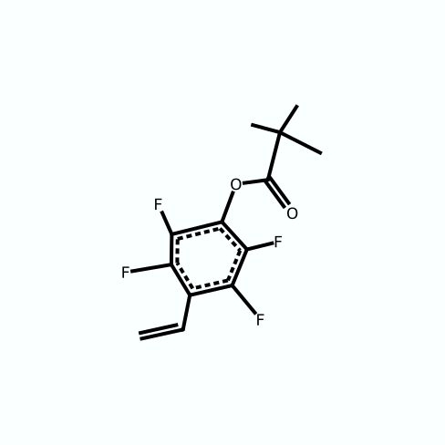 C=Cc1c(F)c(F)c(OC(=O)C(C)(C)C)c(F)c1F